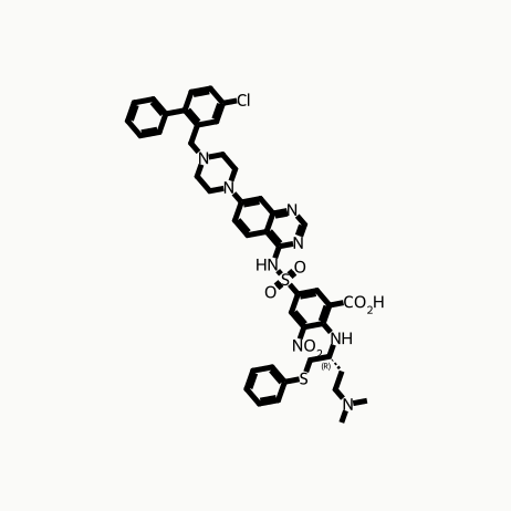 CN(C)CC[C@H](CSc1ccccc1)Nc1c(C(=O)O)cc(S(=O)(=O)Nc2ncnc3cc(N4CCN(Cc5cc(Cl)ccc5-c5ccccc5)CC4)ccc23)cc1[N+](=O)[O-]